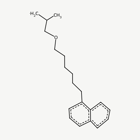 [CH2]C(C)COCCCCCCc1cccc2ccccc12